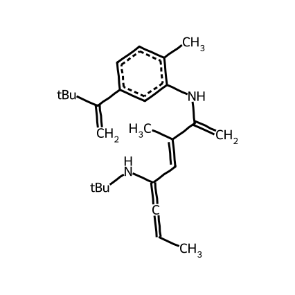 C=C(Nc1cc(C(=C)C(C)(C)C)ccc1C)/C(C)=C/C(=C=CC)NC(C)(C)C